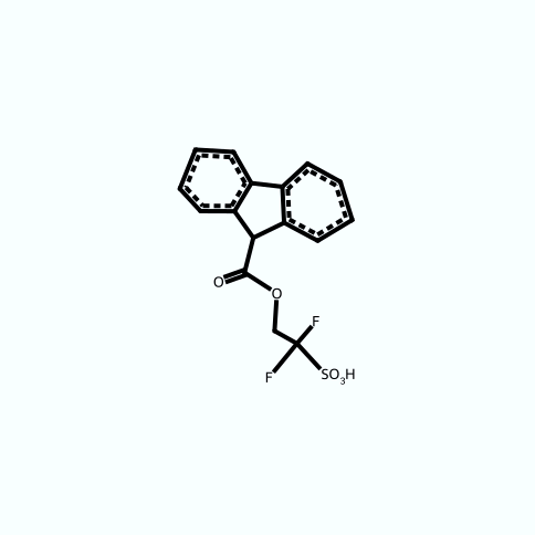 O=C(OCC(F)(F)S(=O)(=O)O)C1c2ccccc2-c2ccccc21